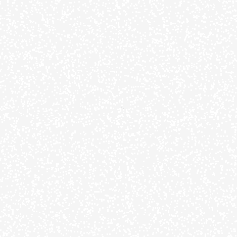 O=C(O)CC(C1CCCCC1)n1c(-c2ccccc2)cc2c3ccccc3ccc21